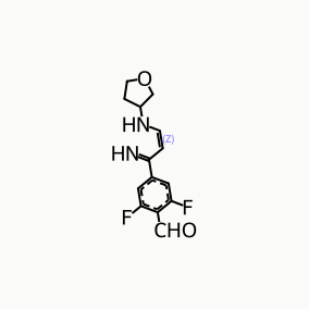 N=C(/C=C\NC1CCOC1)c1cc(F)c(C=O)c(F)c1